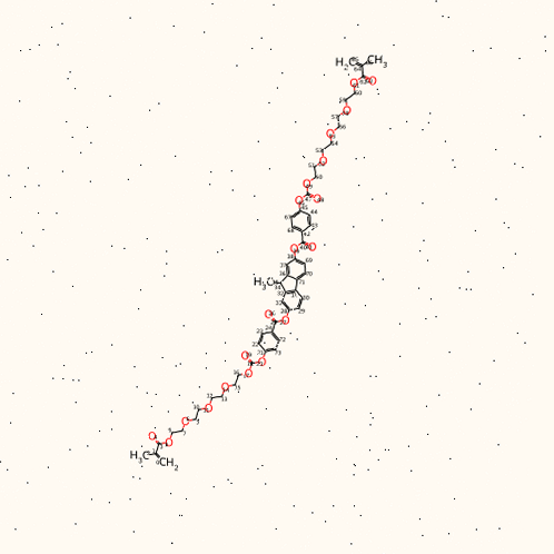 C=C(C)C(=O)OCCOCCOCCOCCOC(=O)Oc1ccc(C(=O)Oc2ccc3c(c2)C(C)c2cc(OC(=O)c4ccc(OC(=O)OCCOCCOCCOCCOC(=O)C(=C)C)cc4)ccc2-3)cc1